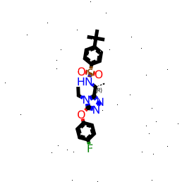 CCn1c(Oc2ccc(F)cc2)nnc1[C@@H](C)NS(=O)(=O)c1ccc(C(C)(C)C)cc1